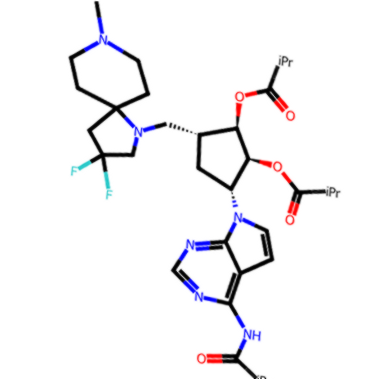 CC(C)C(=O)Nc1ncnc2c1ccn2[C@@H]1C[C@H](CN2CC(F)(F)CC23CCN(C)CC3)[C@@H](OC(=O)C(C)C)[C@H]1OC(=O)C(C)C